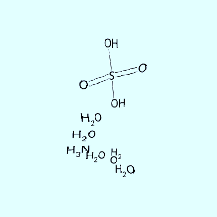 N.O.O.O.O.O.O=S(=O)(O)O